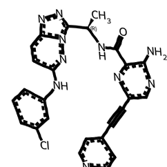 C[C@@H](NC(=O)c1nc(C#Cc2ccncc2)cnc1N)c1nnc2ccc(Nc3cccc(Cl)c3)nn12